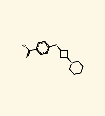 O=C(O)c1ccc(OC2CC(N3CCCCC3)C2)cc1